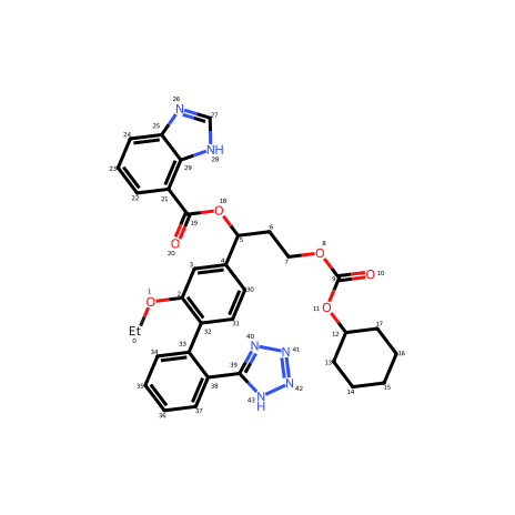 CCOc1cc(C(CCOC(=O)OC2CCCCC2)OC(=O)c2cccc3nc[nH]c23)ccc1-c1ccccc1-c1nnn[nH]1